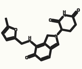 Cc1ccc(CNC2=C3CN(C4CCC(=O)NC4=O)C=C3C=CC2=O)o1